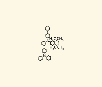 CC1(C)CCC(C)(C)c2cc(N(c3ccc(-c4ccccc4)cc3)c3cccc(-c4ccc(N(c5ccccc5)c5ccccc5)cc4)c3)ccc21